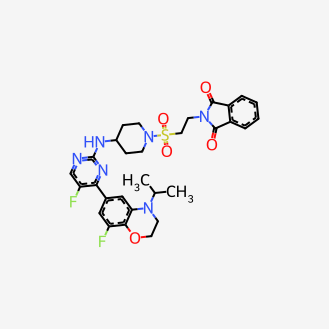 CC(C)N1CCOc2c(F)cc(-c3nc(NC4CCN(S(=O)(=O)CCN5C(=O)c6ccccc6C5=O)CC4)ncc3F)cc21